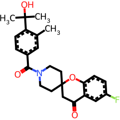 Cc1cc(C(=O)N2CCC3(CC2)CC(=O)c2cc(F)ccc2O3)ccc1C(C)(C)O